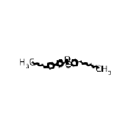 CCCCCCCC[C@H]1CC[C@H](OC(=O)c2ccc(C3=CCC(CCCCCC)CC3)cc2)CC1